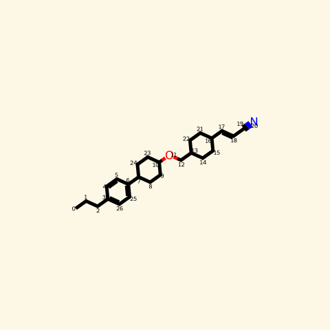 CCCc1ccc(C2CCC(OCC3CCC(C=CC#N)CC3)CC2)cc1